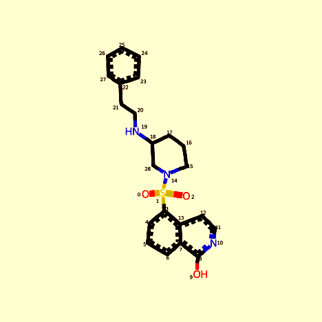 O=S(=O)(c1cccc2c(O)nccc12)N1CCCC(NCCc2ccccc2)C1